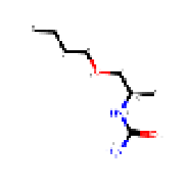 CCCCOC[C@@H](C)NC(N)=O